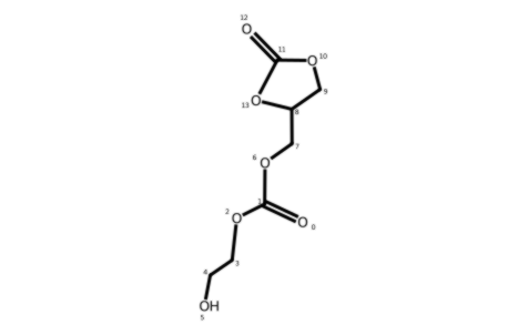 O=C(OCCO)OCC1COC(=O)O1